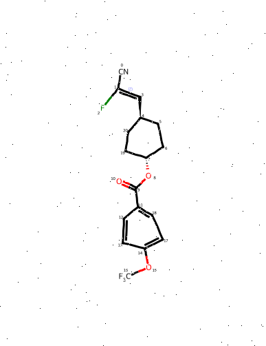 N#C/C(F)=C/[C@H]1CC[C@H](OC(=O)c2ccc(OC(F)(F)F)cc2)CC1